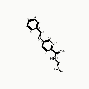 COCNC(=O)c1ccc(OCc2ccccc2)cn1